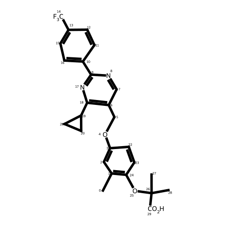 Cc1cc(OCc2cnc(-c3ccc(C(F)(F)F)cc3)nc2C2CC2)ccc1OC(C)(C)C(=O)O